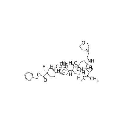 C=C(C)[C@@H]1CC[C@]2(NCCN3CCOCC3)CC[C@]3(C)[C@H](CC[C@@H]4[C@@]5(C)CC=C(C6=CC[C@](CF)(C(=O)OCc7ccccc7)CC6)C(C)(C)[C@@H]5CC[C@]43C)[C@@H]12